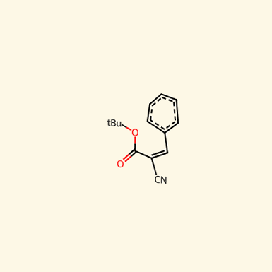 CC(C)(C)OC(=O)C(C#N)=Cc1ccccc1